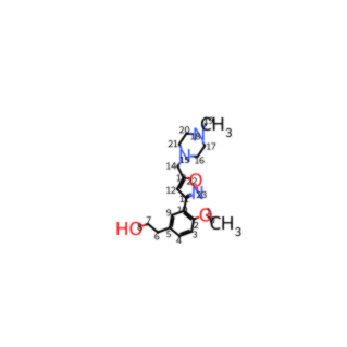 COc1ccc(CCO)cc1-c1cc(CN2CCN(C)CC2)on1